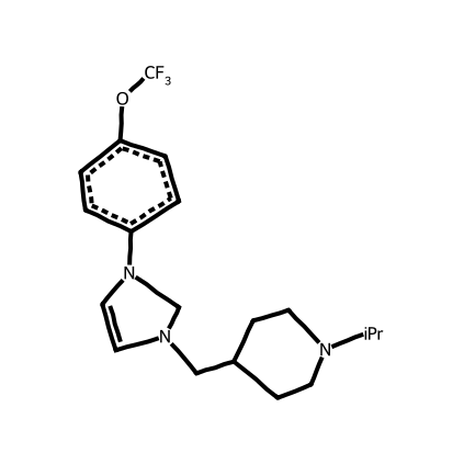 CC(C)N1CCC(CN2C=CN(c3ccc(OC(F)(F)F)cc3)C2)CC1